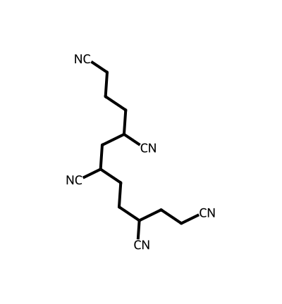 N#CCCCC(C#N)CC(C#N)CCC(C#N)CCC#N